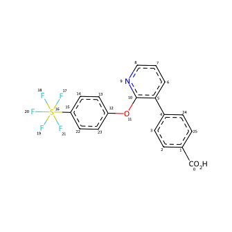 O=C(O)c1ccc(-c2cccnc2Oc2ccc(S(F)(F)(F)(F)F)cc2)cc1